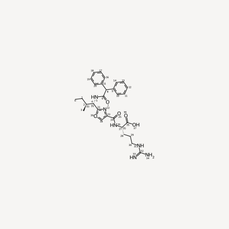 CC[C@H](C)[C@H](NC(=O)C(c1ccccc1)c1ccccc1)c1nc(C(=O)N[C@@H](CCCNC(=N)N)C(=O)O)co1